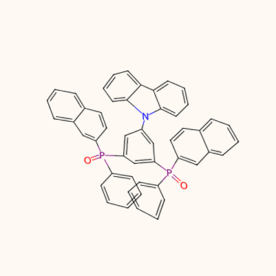 O=P(c1ccccc1)(c1cc(-n2c3ccccc3c3ccccc32)cc(P(=O)(c2ccccc2)c2ccc3ccccc3c2)c1)c1ccc2ccccc2c1